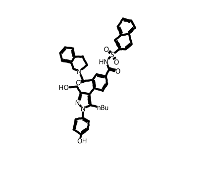 CCCCc1c(-c2ccc(C(=O)NS(=O)(=O)c3ccc4ccccc4c3)cc2C(=O)N2CCc3ccccc3C2)c(CO)nn1-c1ccc(O)cc1